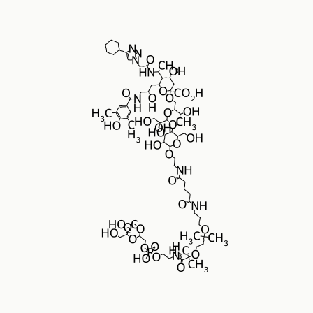 Cc1cc(C(=O)NC[C@@H](O)CC2O[C@@](OCC(OC(OC3C(CO)OC(OCCNC(=O)CCCC(=O)NCCCOC(C)(C)CCOC(C)(C)C(=O)NCCOP(=O)(O)OCC(OC(=O)O)OC(=O)CO)C(O)C3O)[C@@H](O)CO)[C@@H](C)O)(C(=O)O)C[C@@H](O)C2C(C)NC(=O)Cn2cc(C3CCCCC3)nn2)cc(C)c1O